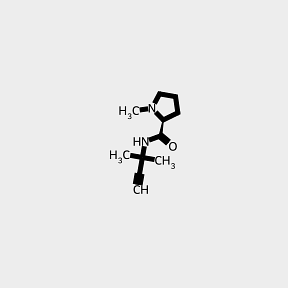 C#CC(C)(C)NC(=O)[C@@H]1CCCN1C